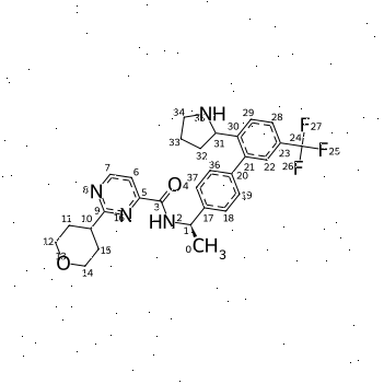 C[C@@H](NC(=O)c1ccnc(C2CCOCC2)n1)c1ccc(-c2cc(C(F)(F)F)ccc2C2CCCN2)cc1